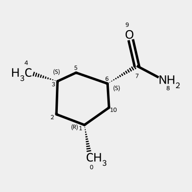 C[C@@H]1C[C@H](C)C[C@H](C(N)=O)C1